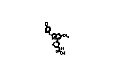 Cc1cc(N2CCC[C@H](NC(=O)O)C2)n2nc(Cc3ccc(Cl)cc3)cc2n1